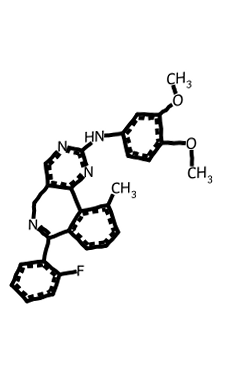 COc1ccc(Nc2ncc3c(n2)-c2c(C)cccc2C(c2ccccc2F)=NC3)cc1OC